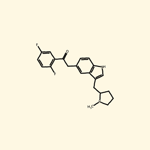 CN1CCCC1Cc1c[nH]c2ccc(CC(=O)c3cc(F)ccc3F)cc12